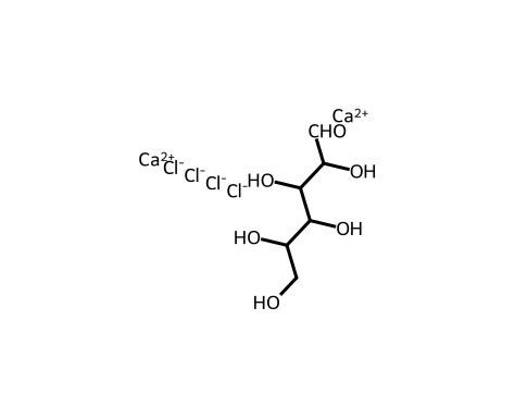 O=CC(O)C(O)C(O)C(O)CO.[Ca+2].[Ca+2].[Cl-].[Cl-].[Cl-].[Cl-]